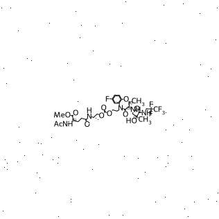 COC(=O)[C@H](CCC(=O)NCCOC(=O)OCCN1C(=O)[C@@H](NC[C@](C)(O)C(=O)NCC(F)(F)C(F)(F)F)[C@@H](C)Oc2ccc(F)cc21)NC(C)=O